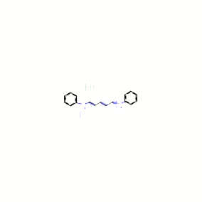 C(=C\C=N\c1ccccc1)/C=C/Nc1ccccc1.Cl